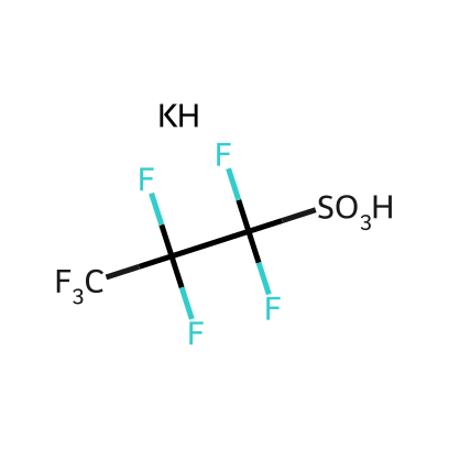 O=S(=O)(O)C(F)(F)C(F)(F)C(F)(F)F.[KH]